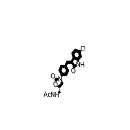 CC(=O)NC[C@H]1CN(c2ccc(C=C3C(=O)Nc4cc(Cl)ccc43)cc2)C(=O)O1